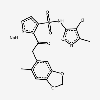 Cc1cc2c(cc1CC(=O)c1sccc1S(=O)(=O)Nc1onc(C)c1Cl)OCO2.[NaH]